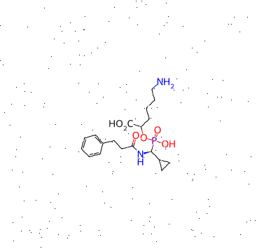 NCCCCC(OP(=O)(O)[C@H](NC(=O)CCc1ccccc1)C1CC1)C(=O)O